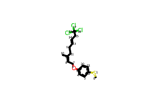 CSc1ccc(OCC=C(C)CCC=CCC(Cl)(Cl)Cl)cc1